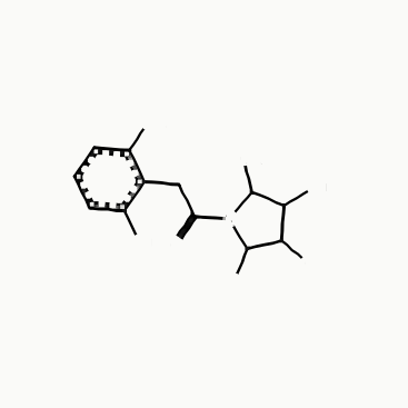 CCOC(=O)C1C(C)C(C)C(C)N1C(=O)Cc1c(C)cccc1C